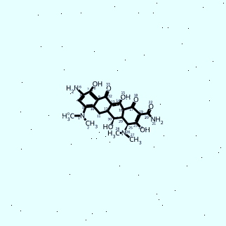 CN(C)c1cc(N)c(O)c2c1CC1C(=C(O)C3C(=O)C(C(N)=O)=C(O)[C@@H](N(C)C)C3[C@H]1O)C2=O